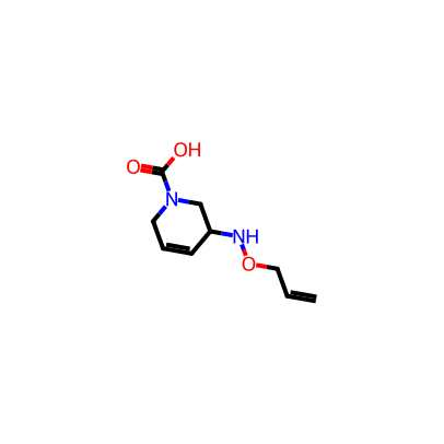 C=CCONC1C=CCN(C(=O)O)C1